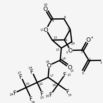 C=C(C)C(=O)OC1C2CC(=O)OC1C(C(=O)OC(C(F)(F)F)C(F)(F)C(F)(F)F)C2